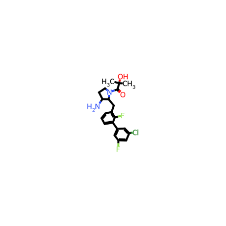 CC(C)(O)C(=O)N1CCC(N)C1Cc1cccc(-c2cc(F)cc(Cl)c2)c1F